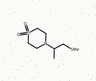 CSCC(C)N1CCS(=O)(=O)CC1